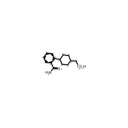 NC(=O)c1ccc[c]c1C1CCC(CC(=O)O)CC1